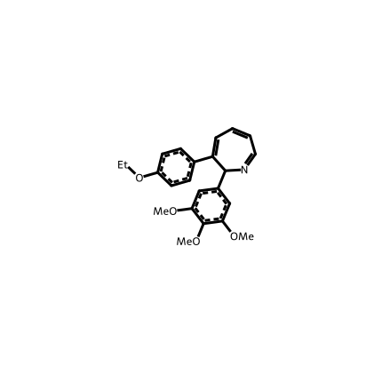 CCOc1ccc(C2=CC=CC=NC2c2cc(OC)c(OC)c(OC)c2)cc1